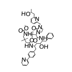 COC(=O)NCC(C)(C)CC(=O)NC(Cc1ccc(-c2ccccn2)cc1)CC(O)C(Cc1ccccc1)NC(=O)C(N1CCN(Cc2cccc(CC(C)O)n2)C1=O)C(C)(C)C